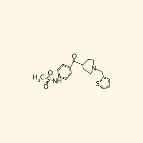 CS(=O)(=O)Nc1ccc(C(=O)C2CCN(Cc3cccs3)CC2)cc1